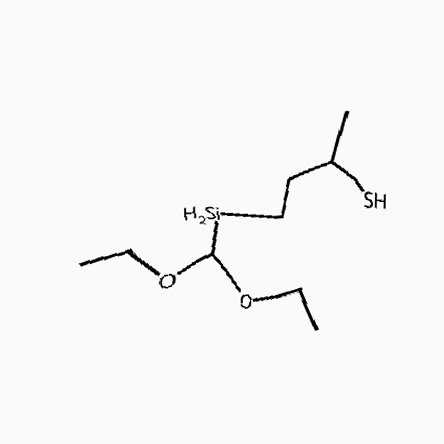 CCOC(OCC)[SiH2]CCC(C)S